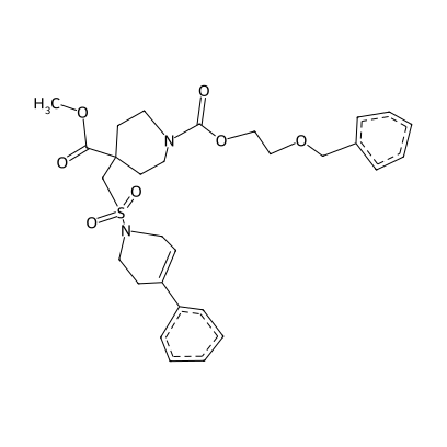 COC(=O)C1(CS(=O)(=O)N2CC=C(c3ccccc3)CC2)CCN(C(=O)OCCOCc2ccccc2)CC1